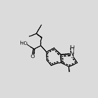 Cc1c[nH]c2cc(C(CC(C)C)C(=O)O)ccc12